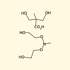 CC(CO)(CO)C(=O)O.CN(OCCO)OCCO